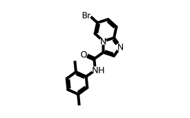 Cc1ccc(C)c(NC(=O)c2cnc3ccc(Br)cn23)c1